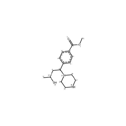 COC(=O)c1ccc(C(CC(C)O)N2CCNCC2)cc1